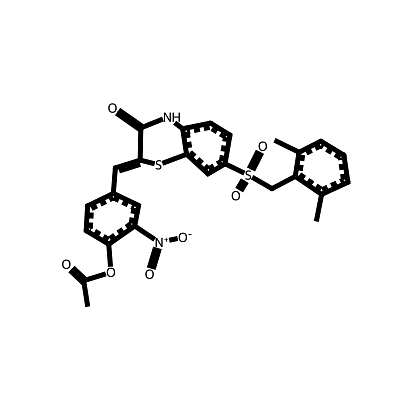 CC(=O)Oc1ccc(C=C2Sc3cc(S(=O)(=O)Cc4c(C)cccc4C)ccc3NC2=O)cc1[N+](=O)[O-]